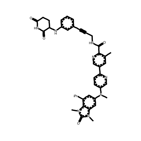 Cc1cc(-c2ccc(N(C)c3cc(C(C)C)c4c(c3)n(C)c(=O)n4C)cn2)cnc1C(=O)NCC#Cc1cccc(NC2CCC(=O)NC2=O)c1